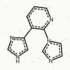 c1cnc(-n2ccnc2)c(-c2c[nH]cn2)c1